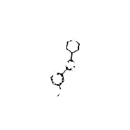 COc1ccnc(-c2nc(C3CCNCC3)n[nH]2)c1